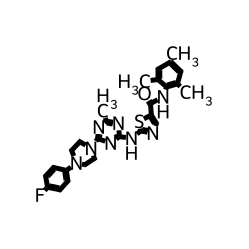 Cc1cc(C)c(NC(=O)c2cnc(Nc3nc(C)nc(N4CCN(c5ccc(F)cc5)CC4)n3)s2)c(C)c1